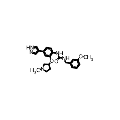 COc1cccc(CNC(=O)Nc2ccc(-c3cn[nH]c3)cc2OC2CCN(C)C2)c1